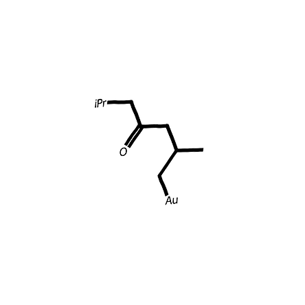 CC(C)CC(=O)CC(C)[CH2][Au]